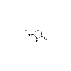 CC/N=C1/NC(=O)CS1